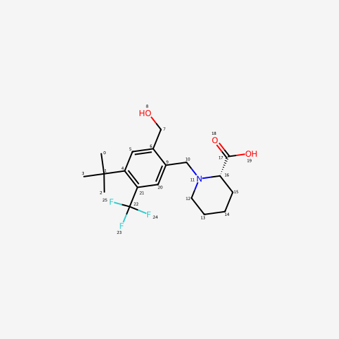 CC(C)(C)c1cc(CO)c(CN2CCCC[C@H]2C(=O)O)cc1C(F)(F)F